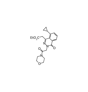 CCOC(=O)Cc1nn(CC(=O)N2CCOCC2)c(=O)c2cccc(C3CC3)c12